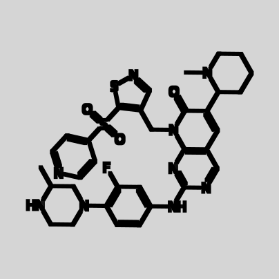 CC1CN(c2ccc(Nc3ncc4cc(C5CCCCN5C)c(=O)n(Cc5cnsc5S(=O)(=O)c5ccncc5)c4n3)cc2F)CCN1